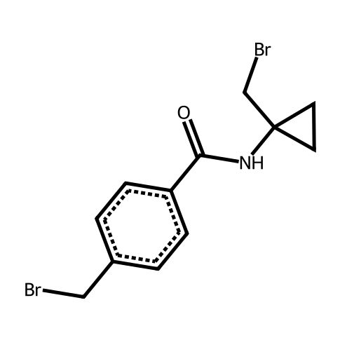 O=C(NC1(CBr)CC1)c1ccc(CBr)cc1